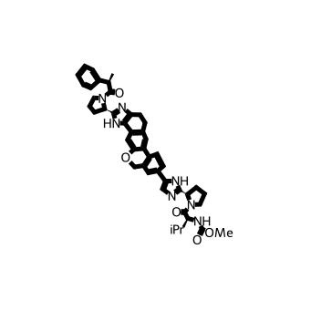 COC(=O)N[C@H](C(=O)N1CCC[C@H]1c1ncc(-c2ccc3c(c2)COc2cc4c(cc2-3)CCc2nc([C@@H]3CCCN3C(=O)[C@H](C)c3ccccc3)[nH]c2-4)[nH]1)C(C)C